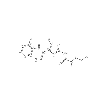 CCCC(C)C(=O)Nc1nc(C)c(C(=O)Nc2c(C)cccc2Cl)s1